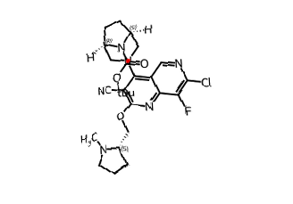 CN1CCC[C@H]1COc1nc2c(F)c(Cl)ncc2c(N2C[C@H]3CC[C@@H](C2)N3C(=O)OC(C)(C)C)c1C#N